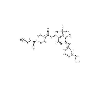 CCOC(=O)C1CCN(C(=O)/C=C/c2ccc(Sc3cccc(OC)c3)c(Cl)c2C(F)(F)F)CC1